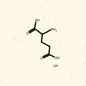 NC(CCC(=O)O)C(=O)O.[LiH]